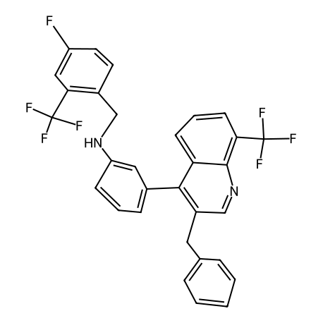 Fc1ccc(CNc2cccc(-c3c(Cc4ccccc4)cnc4c(C(F)(F)F)cccc34)c2)c(C(F)(F)F)c1